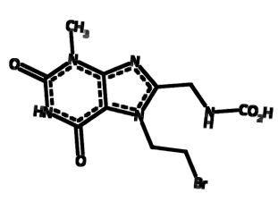 Cn1c(=O)[nH]c(=O)c2c1nc(CNC(=O)O)n2CCBr